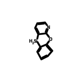 c1ccc2c(c1)Oc1ncccc1[SiH2]2